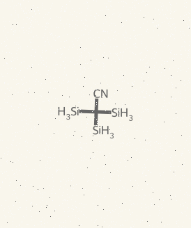 N#CC([SiH3])([SiH3])[SiH3]